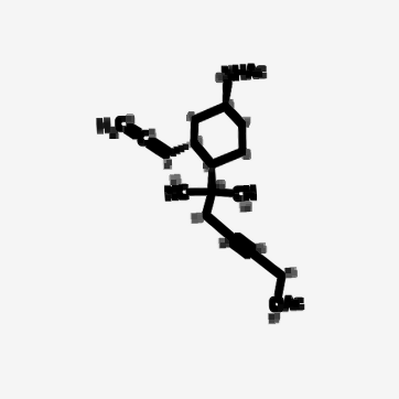 C=C=C[C@@H]1C[C@@H](NC(C)=O)CC[C@H]1C(C#N)(C#N)CC#CCOC(C)=O